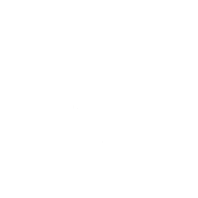 Cc1occc1S.c1ccc2c(c1)ccc1c3c(ccc12)CCCC3